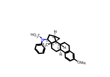 COc1ccc2c(c1)CC[C@@H]1[C@@H]2CC[C@]2(C)[C@@H](N(C(=O)O)c3ccccc3)C[C@H]3C[C@@]312